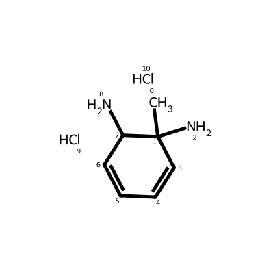 CC1(N)C=CC=CC1N.Cl.Cl